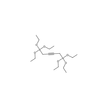 CCO[Si](CC#CC[Si](OCC)(OCC)OCC)(OCC)OCC